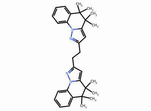 CC1(C)c2ccccc2-n2nc(CCc3cc4n(n3)-c3ccccc3C(C)(C)C4(C)C)cc2C1(C)C